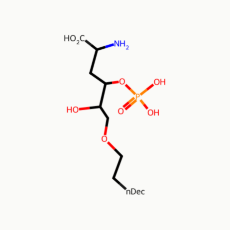 CCCCCCCCCCCCOCC(O)C(CC(N)C(=O)O)OP(=O)(O)O